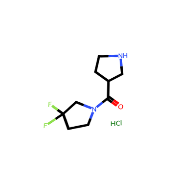 Cl.O=C(C1CCNC1)N1CCC(F)(F)C1